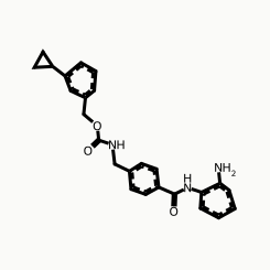 Nc1ccccc1NC(=O)c1ccc(CNC(=O)OCc2cccc(C3CC3)c2)cc1